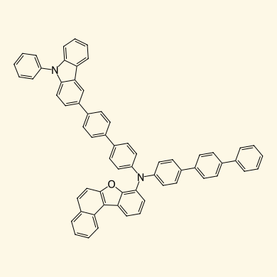 c1ccc(-c2ccc(-c3ccc(N(c4ccc(-c5ccc(-c6ccc7c(c6)c6ccccc6n7-c6ccccc6)cc5)cc4)c4cccc5c4oc4ccc6ccccc6c45)cc3)cc2)cc1